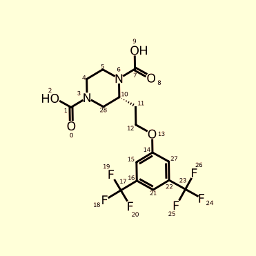 O=C(O)N1CCN(C(=O)O)[C@H](CCOc2cc(C(F)(F)F)cc(C(F)(F)F)c2)C1